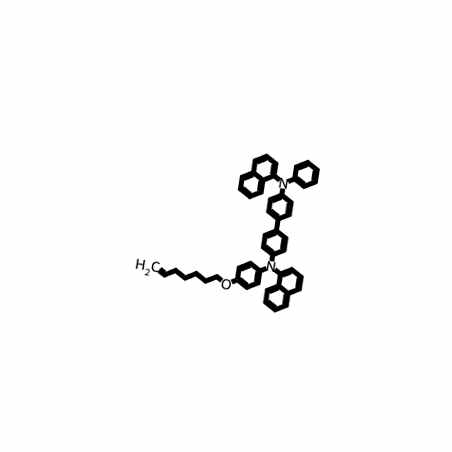 C=CCCCCCOc1ccc(N(c2ccc(-c3ccc(N(c4ccccc4)c4cccc5ccccc45)cc3)cc2)c2cccc3ccccc23)cc1